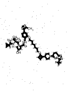 Cc1ncsc1-c1ccc(CNC(=O)C2C[C@@H](O)CN2C(=O)[C@@H](NC(=O)C2(F)CC2)C(C)(C)C)c(OCCCCCCCOC2=CC=C2C2CCN(C3=Nn4c(nnc4C(F)(F)F)CC3)CC2)c1